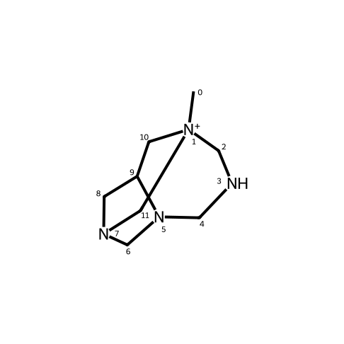 C[N+]12CNCN3CN(CC3C1)C2